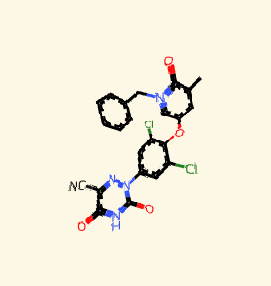 Cc1cc(Oc2c(Cl)cc(-n3nc(C#N)c(=O)[nH]c3=O)cc2Cl)cn(Cc2ccccc2)c1=O